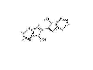 OC1C(C2=Cc3ccccc3C2O)=Cc2ccccc21